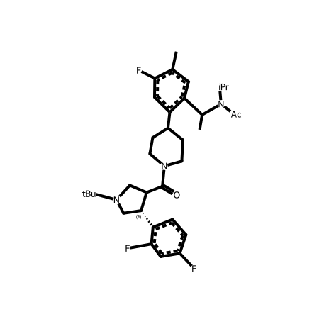 CC(=O)N(C(C)C)C(C)c1cc(C)c(F)cc1C1CCN(C(=O)C2CN(C(C)(C)C)C[C@H]2c2ccc(F)cc2F)CC1